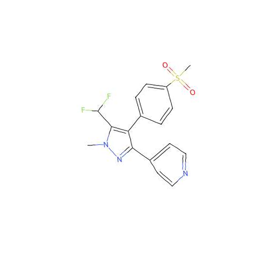 Cn1nc(-c2ccncc2)c(-c2ccc(S(C)(=O)=O)cc2)c1C(F)F